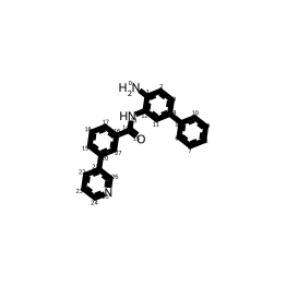 Nc1ccc(-c2ccccc2)cc1NC(=O)c1cccc(-c2cccnc2)c1